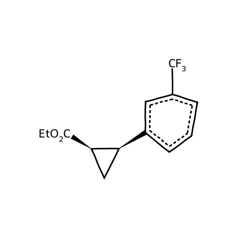 CCOC(=O)[C@@H]1C[C@@H]1c1cccc(C(F)(F)F)c1